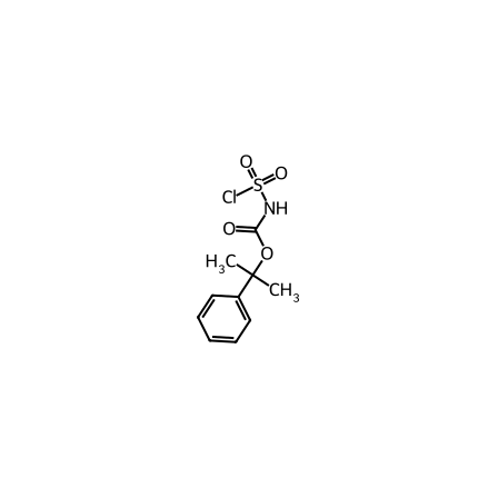 CC(C)(OC(=O)NS(=O)(=O)Cl)c1ccccc1